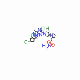 Cc1nn([C@H](C)c2ccc(Cl)cc2Cl)c2nc(N3CC[C@@H](N4CCCC4CCS(N)(=O)=O)[C@@H](C)C3)cnc12.Cl